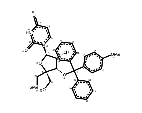 COc1ccc(C(O[C@H]2[C@@H](Cl)[C@H](n3ccc(=O)[nH]c3=O)O[C@@]2(CO)CSC)(c2ccccc2)c2ccccc2)cc1